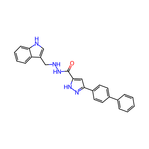 O=C(NNCc1c[nH]c2ccccc12)c1cc(-c2ccc(-c3ccccc3)cc2)n[nH]1